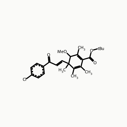 COC1C(C)=C(C(=O)OC(C)(C)C)C(C)=C(C)C1(C)C=CC(=O)c1ccc(Cl)cc1